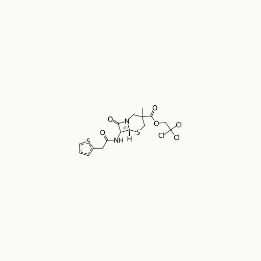 CC1(C(=O)OCC(Cl)(Cl)Cl)CS[C@@H]2C(NC(=O)Cc3cccs3)C(=O)N2C1